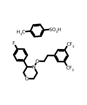 Cc1ccc(S(=O)(=O)O)cc1.Fc1ccc(C2COCCN2OCCc2cc(C(F)(F)F)cc(C(F)(F)F)c2)cc1